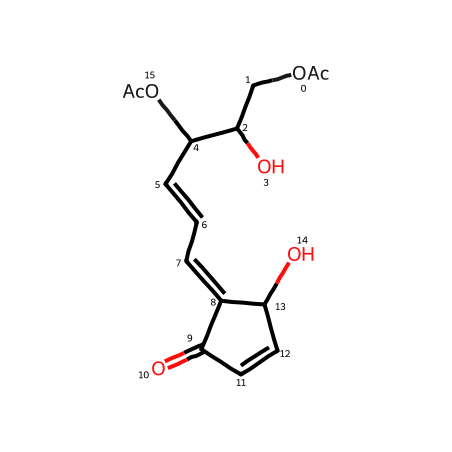 CC(=O)OCC(O)C(C=CC=C1C(=O)C=CC1O)OC(C)=O